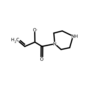 C=CC([O])C(=O)N1CCNCC1